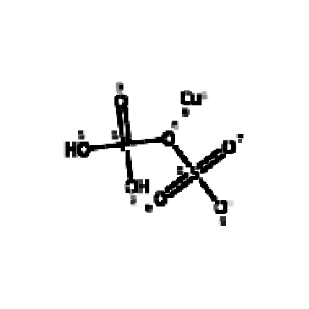 O=P(O)(O)OS(=O)(=O)[O-].[Cu+]